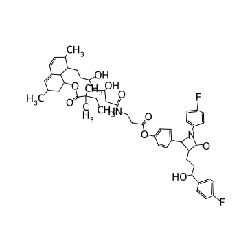 CCC(C)(C)C(=O)OC1CC(C)C=C2C=CC(C)C(CCC(O)CC(O)CC(=O)NCCC(=O)Oc3ccc(C4C(CCC(O)c5ccc(F)cc5)C(=O)N4c4ccc(F)cc4)cc3)C21